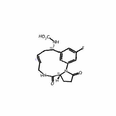 O=C(O)N[C@H]1C/C=C/CNC(=O)[C@H]2CCC(=O)N2c2cc(F)cc1c2